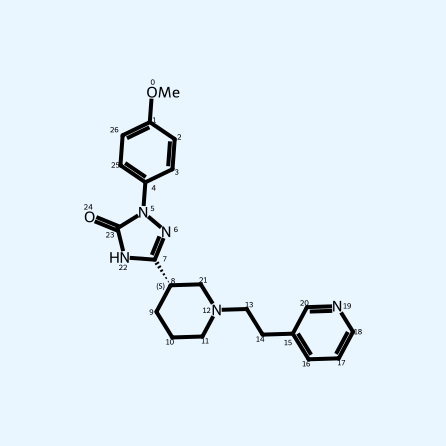 COc1ccc(-n2nc([C@H]3CCCN(CCc4cccnc4)C3)[nH]c2=O)cc1